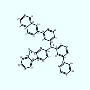 c1ccc(-c2cccc(N(c3cccc(-c4ccc5ccccc5c4)c3)c3ccc4c(c3)oc3ccccc34)c2)cc1